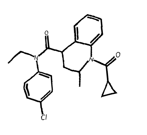 CCN(C(=O)C1CC(C)N(C(=O)C2CC2)c2ccccc21)c1ccc(Cl)cc1